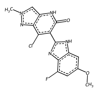 COc1cc(F)c2nc(-c3c(Cl)c4nn(C)cc4[nH]c3=O)[nH]c2c1